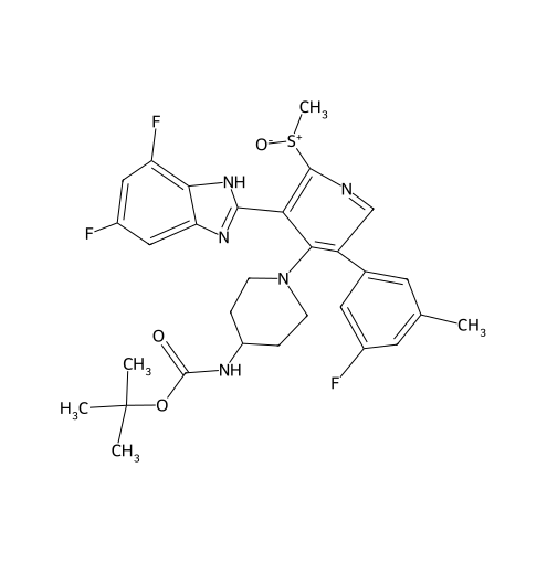 Cc1cc(F)cc(-c2cnc([S+](C)[O-])c(-c3nc4cc(F)cc(F)c4[nH]3)c2N2CCC(NC(=O)OC(C)(C)C)CC2)c1